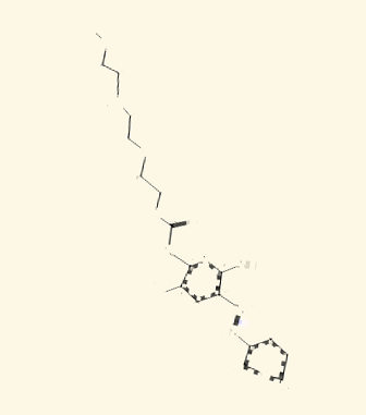 COCCOCCOCCOC(=O)Nc1nc(N)c(/N=N/c2ccccc2)cc1O